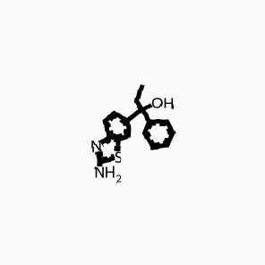 CCC(O)(c1ccccc1)c1ccc2nc(N)sc2c1